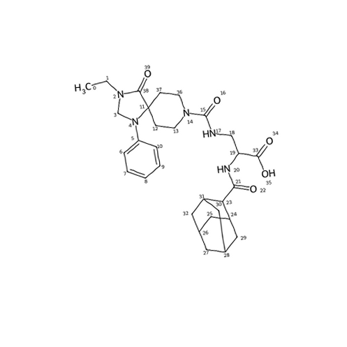 CCN1CN(c2ccccc2)C2(CCN(C(=O)NCC(NC(=O)C3C4CC5CC(C4)CC3C5)C(=O)O)CC2)C1=O